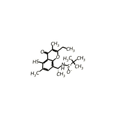 CCc1oc2c([C@@H](C)N[S@+]([O-])C(C)(C)C)cc(C)c(S)c2c(=O)c1C